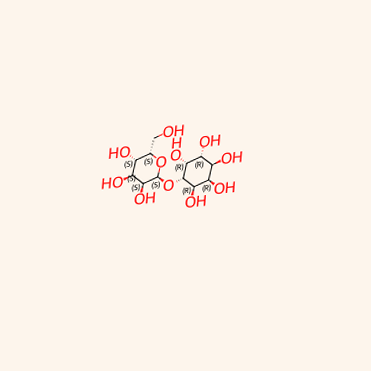 OC[C@@H]1O[C@@H](O[C@H]2[C@H](O)[C@H](O)[C@H](O)[C@@H](O)[C@H]2O)[C@@H](O)[C@@H](O)[C@@H]1O